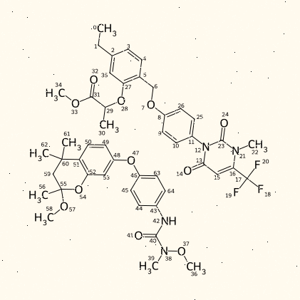 CCc1ccc(COc2ccc(-n3c(=O)cc(C(F)(F)F)n(C)c3=O)cc2)c(OC(C)C(=O)OC)c1.CON(C)C(=O)Nc1ccc(Oc2ccc3c(c2)OC(C)(OC)CC3(C)C)cc1